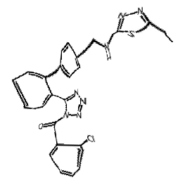 CCc1nnc(NCc2ccc(-c3ccccc3-c3nnnn3C(=O)c3ccccc3Cl)cc2)s1